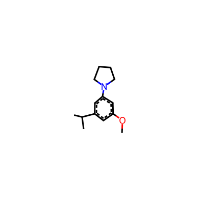 COc1cc(C(C)C)cc(N2CCCC2)c1